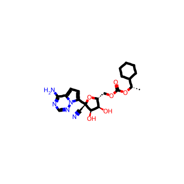 C[C@H](OC(=O)OC[C@H]1O[C@@](C#N)(c2ccc3c(N)ncnn23)[C@H](O)[C@@H]1O)C1CCCCC1